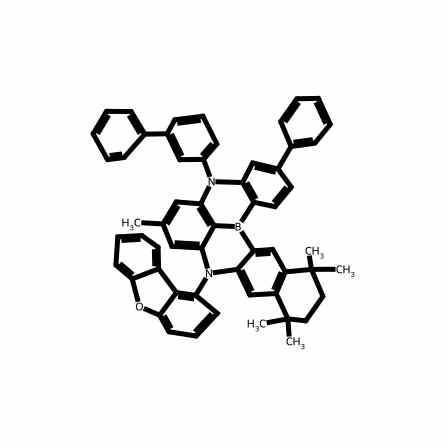 Cc1cc2c3c(c1)N(c1cccc4oc5ccccc5c14)c1cc4c(cc1B3c1ccc(-c3ccccc3)cc1N2c1cccc(-c2ccccc2)c1)C(C)(C)CCC4(C)C